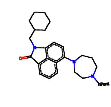 CCCCCN1CCCN(c2ccc3c4c(cccc24)C(=O)N3CC2CCCCC2)CC1